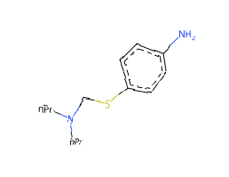 CCCN(CCC)CSc1ccc(N)cc1